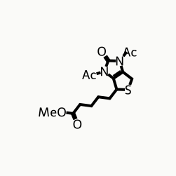 COC(=O)CCCCC1SCc2c1n(C(C)=O)c(=O)n2C(C)=O